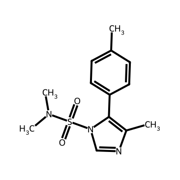 Cc1ccc(-c2c(C)ncn2S(=O)(=O)N(C)C)cc1